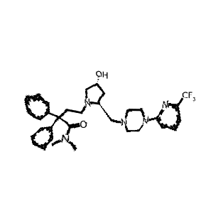 CN(C)C(=O)C(CCN1C[C@H](O)C[C@H]1CN1CCN(c2cccc(C(F)(F)F)n2)CC1)(c1ccccc1)c1ccccc1